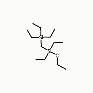 CCO[Si](CC)(CC)C[Si](CC)(CC)CC